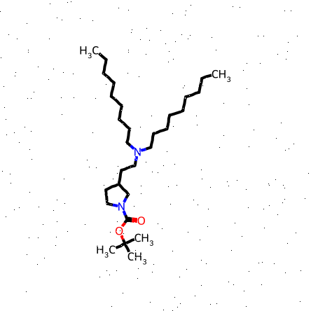 CCCCCCCCCN(CCCCCCCCC)CCC1CCN(C(=O)OC(C)(C)C)C1